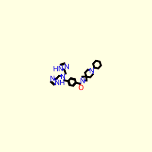 O=C(c1ccc(CN(Cc2ncc[nH]2)Cc2ncc[nH]2)cc1)N1CC2(CCN(C3CCCCC3)CC2)C1